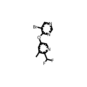 Cc1cc(Oc2ncncc2Br)cnc1C(F)F